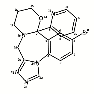 Brc1ccc2c(c1)C1(c3ccccn3)OCCCN1Cc1nncn1-2